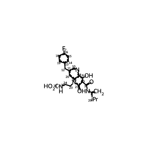 C=C(NC(=O)c1c(O)c2ncc(Cc3ccc(F)cc3)cc2n(CCNC(=O)O)c1=O)C(C)C